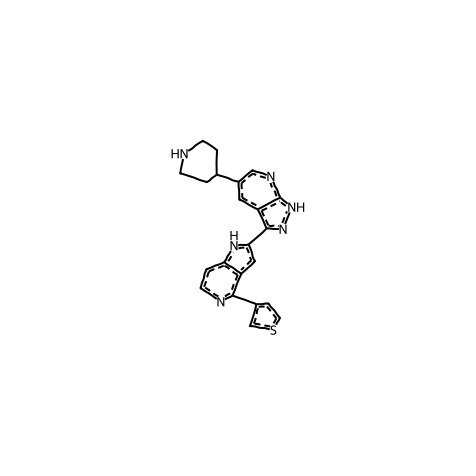 c1cc2[nH]c(-c3n[nH]c4ncc(C5CCNCC5)cc34)cc2c(-c2ccsc2)n1